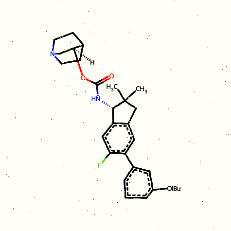 CC(C)COc1cccc(-c2cc3c(cc2F)[C@H](NC(=O)O[C@H]2CN4CCC2CC4)C(C)(C)C3)c1